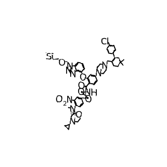 CN(c1ccc(S(=O)(=O)NC(=O)c2ccc(N3CCN(CC4=C(c5ccc(Cl)cc5)CC(C)(C)CC4)CC3)cc2Oc2cccc3c2nnn3COCC[Si](C)(C)C)cc1[N+](=O)[O-])[C@@H]1CN(C2CC2)CCO1